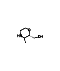 CC1NCCO[C@@H]1CO